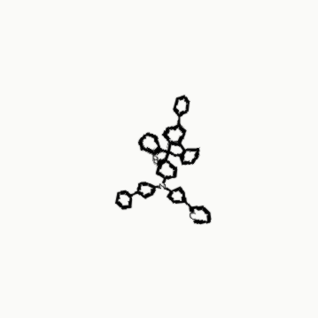 Brc1ccccc1C1(c2ccc(N(c3ccc(-c4ccccc4)cc3)c3ccc(-c4ccccc4)cc3)cc2)c2ccccc2-c2cc(-c3ccccc3)ccc21